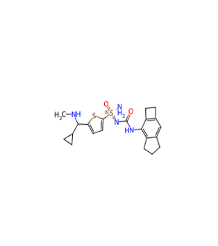 CNC(c1ccc([S@@](N)(=O)=NC(=O)Nc2c3c(cc4c2CC4)CCC3)s1)C1CC1